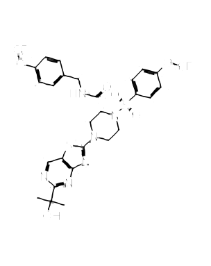 CC(C)(O)c1ncc2sc(N3CCN(S(=O)(=O)c4ccc(OC(F)(F)F)cc4)[C@@H](C(=O)NCc4ccc(OC(F)(F)F)cc4)C3)nc2n1